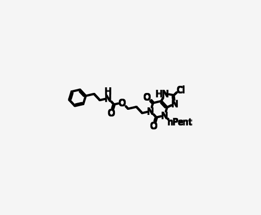 CCCCCn1c(=O)n(CCCOC(=O)NCCc2ccccc2)c(=O)c2[nH]c(Cl)nc21